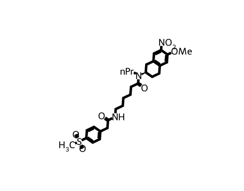 CCCN(C(=O)CCCCCNC(=O)Cc1ccc(S(C)(=O)=O)cc1)[C@@H]1CCc2cc(OC)c([N+](=O)[O-])cc2C1